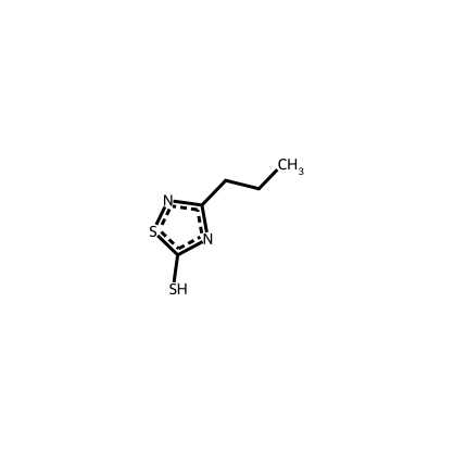 CCCc1nsc(S)n1